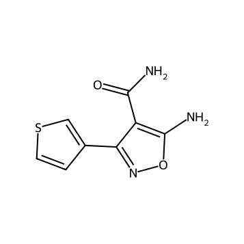 NC(=O)c1c(-c2ccsc2)noc1N